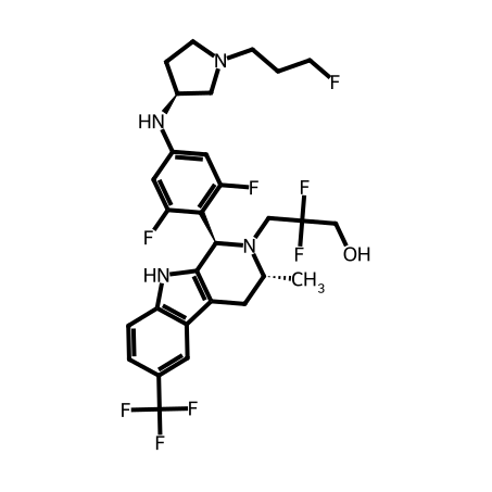 C[C@@H]1Cc2c([nH]c3ccc(C(F)(F)F)cc23)[C@@H](c2c(F)cc(N[C@H]3CCN(CCCF)C3)cc2F)N1CC(F)(F)CO